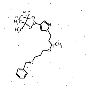 C[C@@H](CCn1cc(B2OC(C)(C)C(C)(C)O2)cn1)OCCCOCc1ccccc1